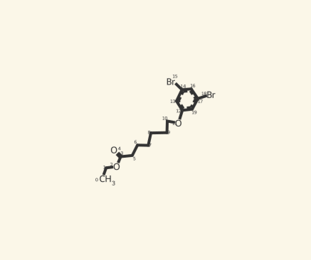 CCOC(=O)CCCCCCOc1cc(Br)cc(Br)c1